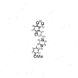 COc1cccc(CN2CCN(CCCc3c(Cl)ccc4c3COCO4)CC2)c1